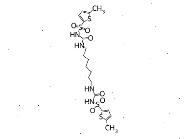 Cc1ccc(S(=O)(=O)NC(=O)NCCCCCCCNC(=O)NS(=O)(=O)c2ccc(C)s2)s1